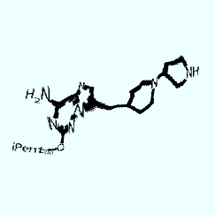 CCC[C@H](C)Oc1nc(N)c2ncc(CC3CCN(C4CCNC4)CC3)n2n1